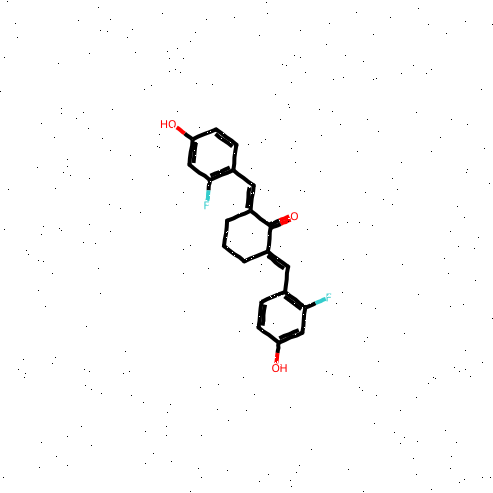 O=C1/C(=C/c2ccc(O)cc2F)CCC/C1=C\c1ccc(O)cc1F